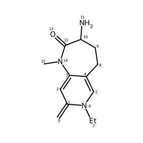 C=C1C=C2C(=CN1CC)CCC(N)C(=O)N2C